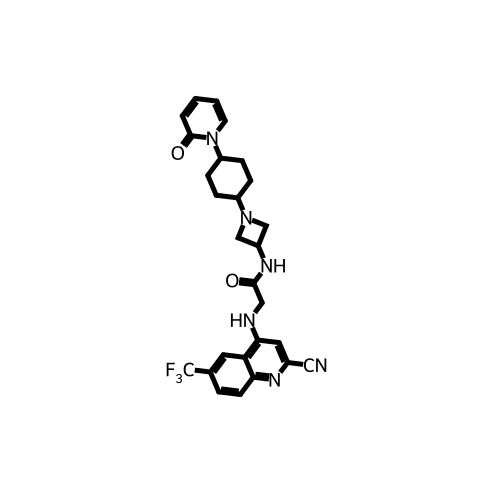 N#Cc1cc(NCC(=O)NC2CN(C3CCC(n4ccccc4=O)CC3)C2)c2cc(C(F)(F)F)ccc2n1